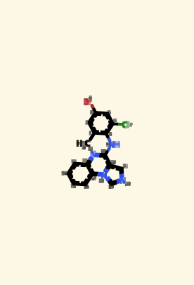 Cc1cc(Br)cc(Cl)c1Nc1nc2ccccc2n2cncc12